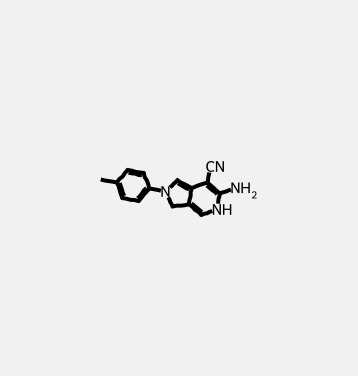 Cc1ccc(N2C=C3C(=CNC(N)=C3C#N)C2)cc1